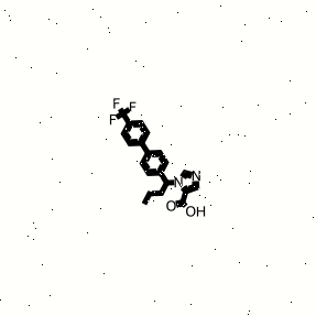 CCCC(c1ccc(-c2ccc(C(F)(F)F)cc2)cc1)n1cncc1C(=O)O